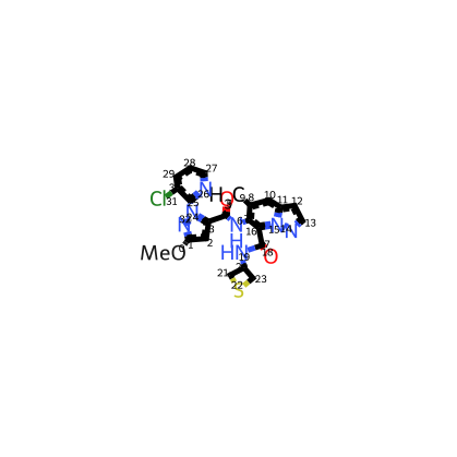 COc1cc(C(=O)Nc2c(C)cc3ccnn3c2C(=O)NC2CSC2)n(-c2ncccc2Cl)n1